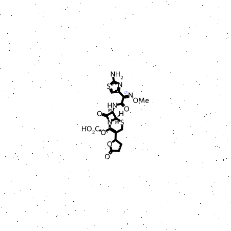 CO/N=C(\C(=O)N[C@@H]1C(=O)N2C(OC(=O)O)=C(C3CCC(=O)O3)CS[C@H]12)c1csc(N)n1